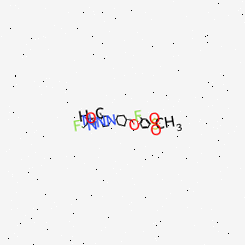 C[C@H]1CN([C@H]2CC[C@H](COc3ccc(S(C)(=O)=O)cc3F)CC2)CCN1c1nc(CF)no1